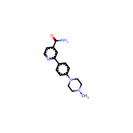 CN1CCN(c2ccc(-c3cc(C(N)=O)ccn3)cc2)CC1